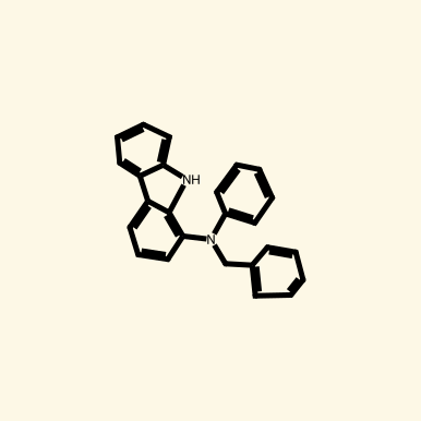 c1ccc(CN(c2ccccc2)c2cccc3c2[nH]c2ccccc23)cc1